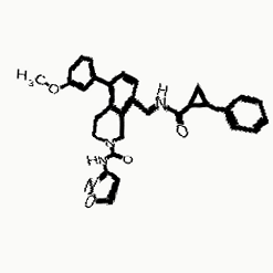 COc1cccc(-c2ccc(CNC(=O)C3CC3c3ccccc3)c3c2CCN(C(=O)Nc2ccon2)C3)c1